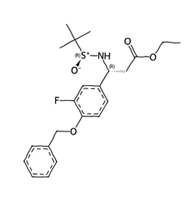 CCOC(=O)C[C@@H](N[S@@+]([O-])C(C)(C)C)c1ccc(OCc2ccccc2)c(F)c1